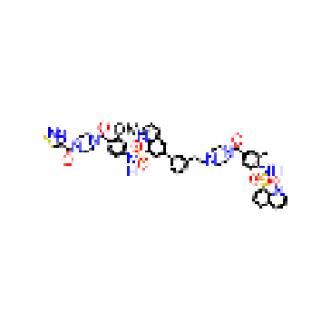 COc1cc(NS(=O)(=O)c2cc(-c3cccc(CCN4CCN(C(=O)c5ccc(NS(=O)(=O)c6cccc7cccnc67)c(C)c5)CC4)c3)cc3cccnc23)ccc1C(=O)N1CCN(C(=O)c2csnn2)CC1